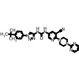 CC(C)(C)c1ccc(-n2cc(NC(=O)Nc3cnc(N4CCN(c5ncccn5)CC4)c(C#N)c3)nn2)cc1